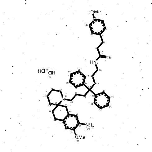 COc1ccc(CCC(=O)NCCCC(CCCN2CCCCC23CCc2cc(OC)c(N)cc2C3)(c2ccccc2)c2ccccc2)cc1.Cl.Cl